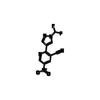 N#Cc1cc([N+](=O)[O-])cnc1-c1cnn(C(F)F)c1